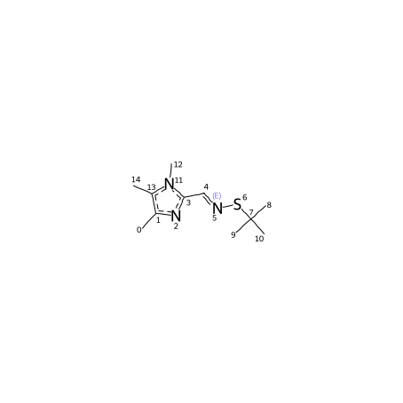 Cc1nc(/C=N/SC(C)(C)C)n(C)c1C